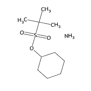 CC(C)(C)S(=O)(=O)OC1CCCCC1.N